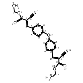 CCOC(=O)/C(C#N)=C/c1ccc(Oc2ccc(/C=C(\C#N)C(=O)OCC)cc2)cc1